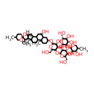 CC1CC[C@@]2(OC1)O[C@H]1CC3C4C[C@@H](O)C5C[C@@H](O[C@@H]6O[C@H](CO)[C@H](O[C@@H]7O[C@H](CO)[C@@H](O)[C@H](O[C@@H]8OC[C@@H](C)[C@H](O)[C@H]8O)[C@H]7O[C@@H]7O[C@H](CO)[C@@H](O)[C@H](O)[C@H]7O)[C@H](O)[C@H]6O)CC[C@]5(C)C4CC[C@]3(C)[C@H]1[C@@H]2C